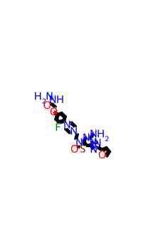 NNC(=O)COc1ccc(N2CCN(CCn3c(=O)sc4c3nc(N)n3nc(-c5ccco5)nc43)CC2)c(F)c1